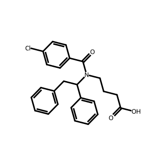 O=C(O)CCCN(C(=O)c1ccc(Cl)cc1)C(Cc1ccccc1)c1ccccc1